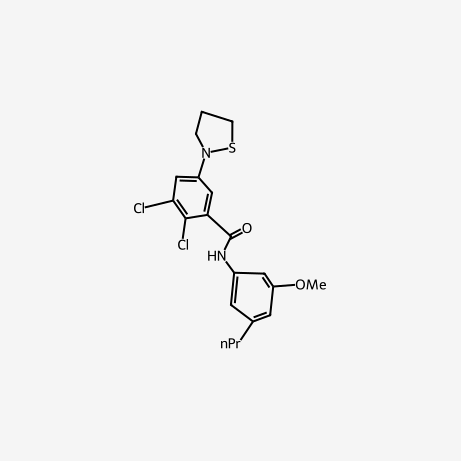 CCCc1cc(NC(=O)c2cc(N3CCCS3)cc(Cl)c2Cl)cc(OC)c1